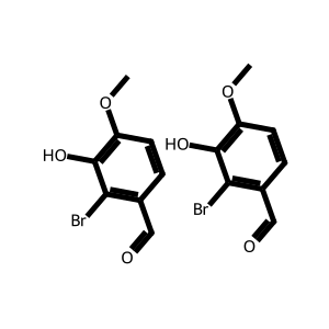 COc1ccc(C=O)c(Br)c1O.COc1ccc(C=O)c(Br)c1O